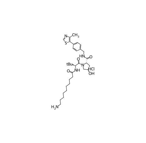 Cc1ncsc1-c1ccc(CNC(=O)[C@@H]2C[C@@H](O)CN2C(=O)[C@@H](NC(=O)CCCCCCCCCN)C(C)(C)C)cc1.Cl